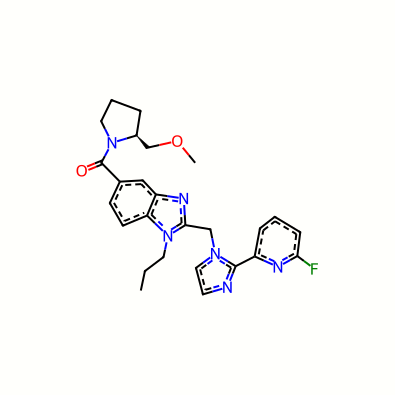 CCCn1c(Cn2ccnc2-c2cccc(F)n2)nc2cc(C(=O)N3CCC[C@H]3COC)ccc21